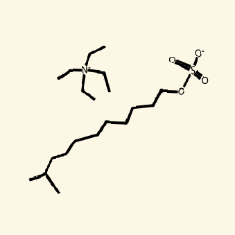 CC(C)CCCCCCCCCOS(=O)(=O)[O-].CC[N+](CC)(CC)CC